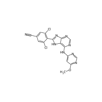 COc1cc(Nc2ncnc3nc(-c4c(Cl)cc(C#N)cc4Cl)[nH]c23)ncn1